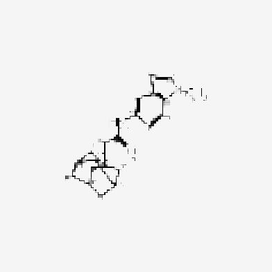 Cn1ccc2cc(NC(=O)CC34CC5CC(CC(C5)C3)C4)ccc21